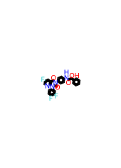 O=C(N[C@H]1CC[C@@H](n2c(=O)c3cc(F)cnc3n(-c3ccc(F)c(F)c3)c2=O)CC1)[C@H](O)C1CCCCC1